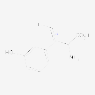 NC(C(=O)O)/C(=C/F)c1cccc(O)c1